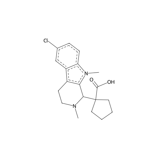 CN1CCc2c(n(C)c3ccc(Cl)cc23)C1C1(C(=O)O)CCCC1